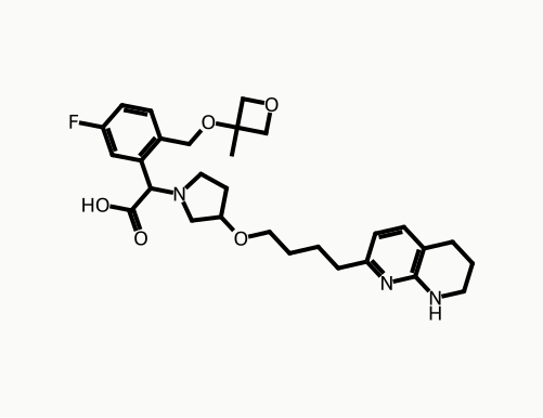 CC1(OCc2ccc(F)cc2C(C(=O)O)N2CCC(OCCCCc3ccc4c(n3)NCCC4)C2)COC1